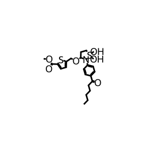 CCCCCC(=O)c1ccc(N2C(OCc3ccc(C(=O)OC)s3)CCS2(O)O)cc1